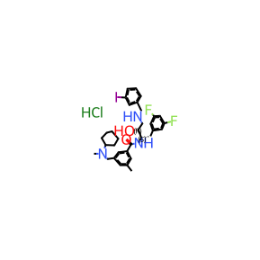 Cc1cc(CN(C)C2CCCCC2)cc(C(=O)N[C@@H](Cc2cc(F)cc(F)c2)[C@H](O)CNCc2cccc(I)c2)c1.Cl